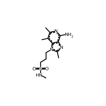 CNS(=O)(=O)CCCn1c(C)nc2c(N)nc(C)c(C)c21